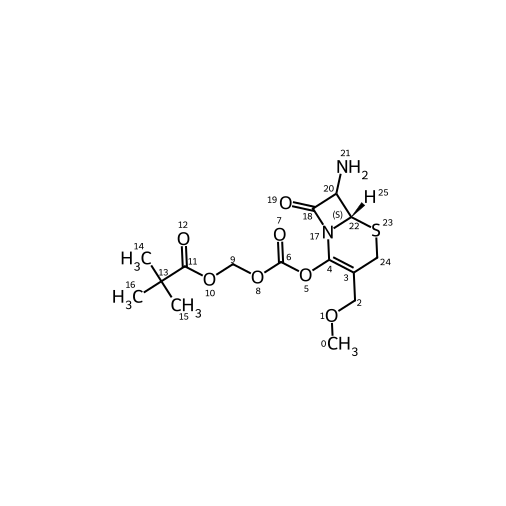 COCC1=C(OC(=O)OCOC(=O)C(C)(C)C)N2C(=O)C(N)[C@@H]2SC1